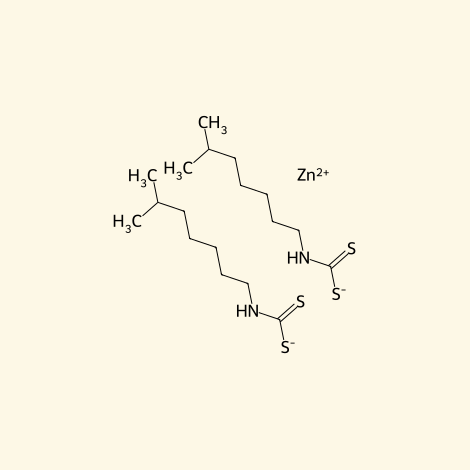 CC(C)CCCCCNC(=S)[S-].CC(C)CCCCCNC(=S)[S-].[Zn+2]